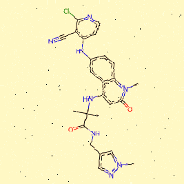 Cn1cc(CNC(=O)C(C)(C)Nc2cc(=O)n(C)c3ccc(Nc4ccnc(Cl)c4C#N)cc23)cn1